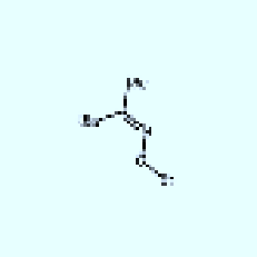 CCON=C(C(C)(C)C)C(C)(C)C